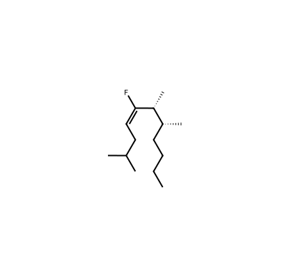 CCCC[C@@H](C)[C@@H](C)/C(F)=C\CC(C)C